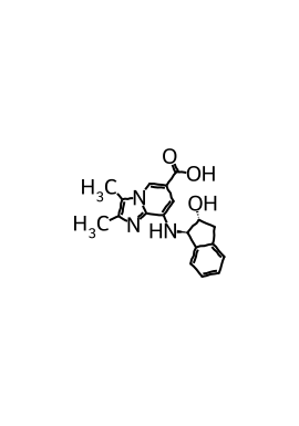 Cc1nc2c(N[C@@H]3c4ccccc4C[C@H]3O)cc(C(=O)O)cn2c1C